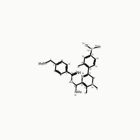 CNCc1ccc(C(=N)OC(NC)C2=C(C)N(C)CC(c3ccc([S+]([O-])C(C)C)cc3C)=N2)cc1